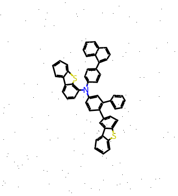 c1ccc(-c2cc(N(c3ccc(-c4cccc5ccccc45)cc3)c3cccc4c3sc3ccccc34)ccc2-c2ccc3sc4ccccc4c3c2)cc1